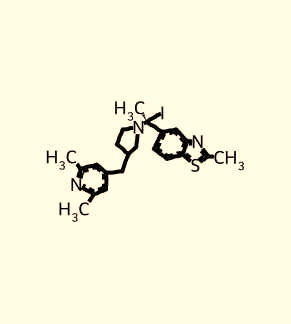 Cc1cc(CC2CCN([C@@](C)(I)c3ccc4sc(C)nc4c3)C2)cc(C)n1